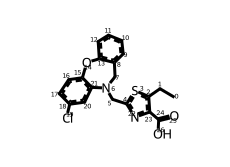 CCc1sc(CN2Cc3ccccc3Oc3ccc(Cl)cc32)nc1C(=O)O